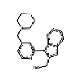 OCc1cc2ccccn2c1-c1cc(CN2CCOCC2)ccn1